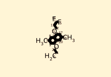 C=CCOc1cc(C)cc2c(OCC=C(F)F)cc(C)cc12